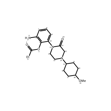 CCC(=O)Oc1c(N)cccc1N1CCN(C2CCC(OC)CC2)CC1=O